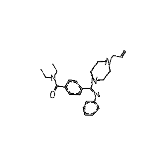 C=CCN1CCN(C(=Nc2ccccc2)c2ccc(C(=O)N(CC)CC)cc2)CC1